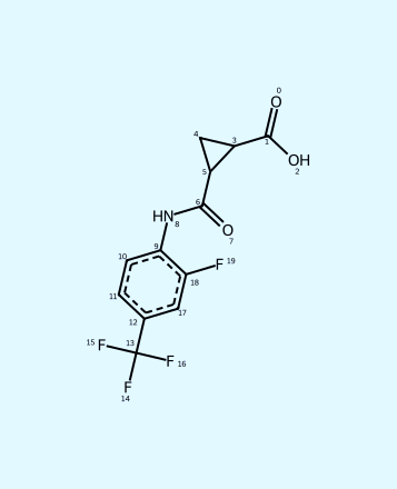 O=C(O)C1CC1C(=O)Nc1ccc(C(F)(F)F)cc1F